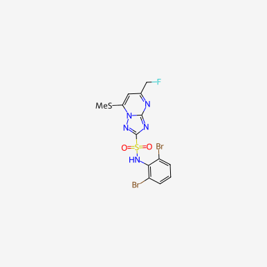 CSc1cc(CF)nc2nc(S(=O)(=O)Nc3c(Br)cccc3Br)nn12